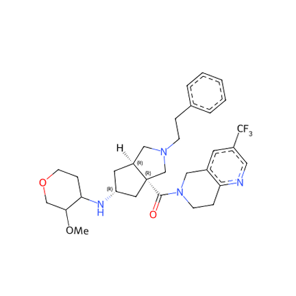 COC1COCCC1N[C@@H]1C[C@H]2CN(CCc3ccccc3)C[C@@]2(C(=O)N2CCc3ncc(C(F)(F)F)cc3C2)C1